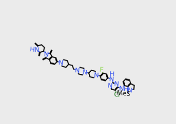 C=C1CCC(n2c(=C)c3ccc(N4CCC(CCN5CCN(C6CCN(c7ccc(Nc8ncc(Cl)c(Nc9cccc%10c9N(SC)CC%10)n8)cc7F)CC6)CC5)CC4)cc3c2=C)C(=C)N1